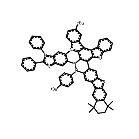 CC(C)(C)c1ccc(N2B3c4cc5nc(-c6ccccc6)n(-c6ccccc6)c5cc4-n4c5ccc(C(C)(C)C)cc5c5c6c(oc7ccccc76)c(c3c54)-c3cc4sc5cc6c(cc5c4cc32)C(C)(C)CCC6(C)C)cc1